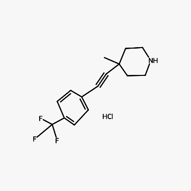 CC1(C#Cc2ccc(C(F)(F)F)cc2)CCNCC1.Cl